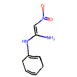 NC(=C[N+](=O)[O-])NC1=CCC=CC1